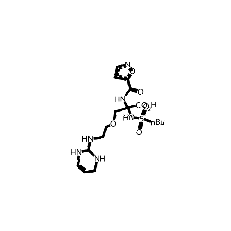 CCCCS(=O)(=O)NC(COCCNC1NC=CCN1)(NC(=O)c1ccno1)C(=O)O